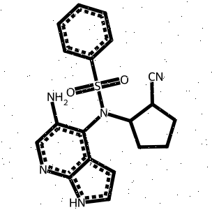 N#CC1CCCC1N(c1c(N)cnc2[nH]ccc12)S(=O)(=O)c1ccccc1